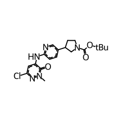 Cn1nc(Cl)cc(Nc2ccc(C3CCN(C(=O)OC(C)(C)C)C3)cn2)c1=O